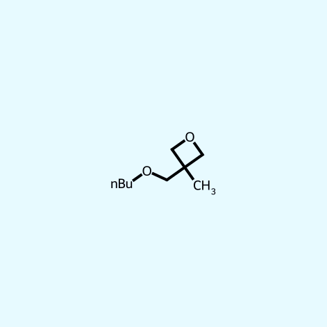 CCCCOCC1(C)COC1